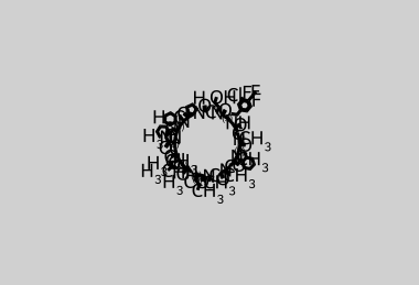 CC[C@H](C)[C@@H]1NC(=O)[C@H](CC(C)C)N(C)C(=O)C[C@@H](C(=O)N2CCCCC2)N(C)C(=O)[C@H](C2CCCCC2)N(C)C(=O)C2(CCCC2)NC(=O)CN(CCO)C(=O)[C@H](CCc2ccc(C(F)(F)F)c(Cl)c2)NC(=O)CN(C)C(=O)[C@H](CC2CCCCC2)N(C)C(=O)CN(C)C(=O)CN(C)C1=O